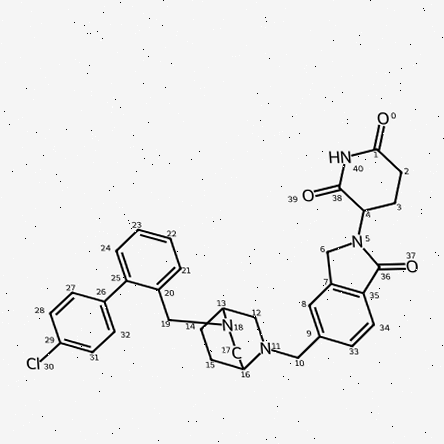 O=C1CCC(N2Cc3cc(CN4CC5CCC4CN5Cc4ccccc4-c4ccc(Cl)cc4)ccc3C2=O)C(=O)N1